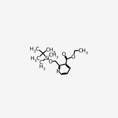 CCOC(=O)c1cccnc1CO[Si](C)(C)C(C)(C)C